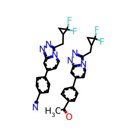 CC(=O)c1ccc(-c2ccn3c(CC4CC4(F)F)nnc3c2)cc1.N#Cc1ccc(-c2ccn3c(CC4CC4(F)F)nnc3c2)cc1